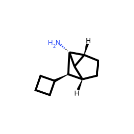 N[C@@]12C3[C@H]1CC[C@@H]3[C@H]2C1CCC1